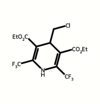 CCOC(=O)C1=C(C(F)(F)F)NC(C(F)(F)F)=C(C(=O)OCC)C1CCl